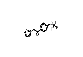 O=C(Cn1cccn1)c1ccc(OC(F)(F)F)cc1